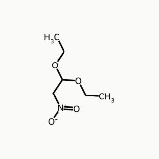 CCOC(C[N+](=O)[O-])OCC